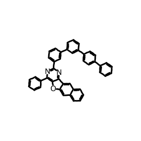 c1ccc(-c2ccc(-c3cccc(-c4cccc(-c5nc(-c6ccccc6)c6oc7cc8ccccc8cc7c6n5)c4)c3)cc2)cc1